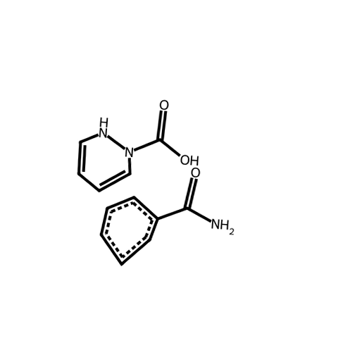 NC(=O)c1ccccc1.O=C(O)N1C=CC=CN1